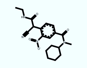 CCNC(=O)C(C#N)c1ccc(C(=O)N(C)C2CCCCC2)cc1[N+](=O)[O-]